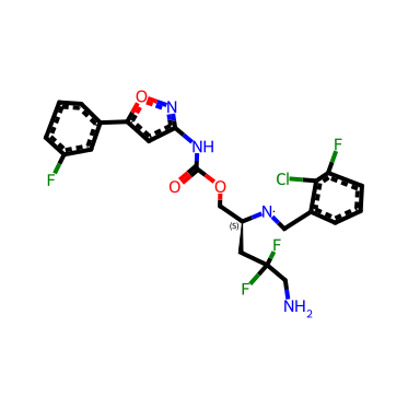 NCC(F)(F)C[C@@H](COC(=O)Nc1cc(-c2cccc(F)c2)on1)[N]Cc1cccc(F)c1Cl